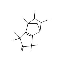 O=C1C(Cl)(Cl)C2=C(C1(Cl)Cl)C1(Cl)CC2C(Cl)C1Cl